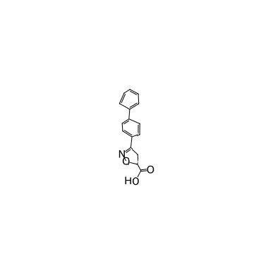 O=C(O)C1CC(c2ccc(-c3ccccc3)cc2)=NO1